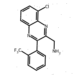 NCc1nc2c(Cl)cccc2nc1-c1ccccc1C(F)(F)F